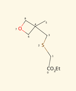 CCOC(=O)CSCC1(C)COC1